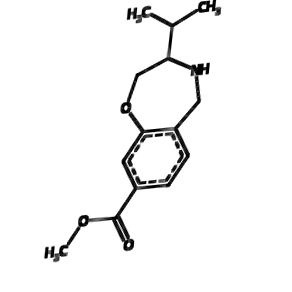 COC(=O)c1ccc2c(c1)OCC(C(C)C)NC2